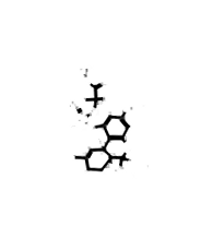 CCCCCc1cc2c(c(OP(=O)(NC(C)(C)C(=O)OC(C)C)C(=O)OCC)c1)[C@@H]1C=C(C)CC[C@H]1C(C)(C)O2